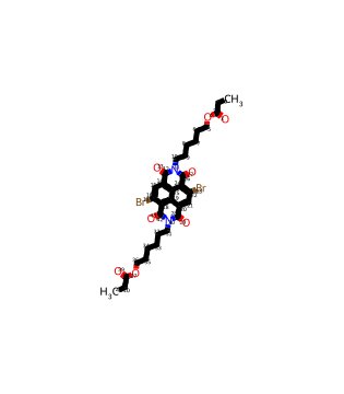 CCC(=O)OCCCCCCN1C(=O)c2cc(Br)c3c4c(cc(Br)c(c24)C1=O)C(=O)N(CCCCCCOC(=O)CC)C3=O